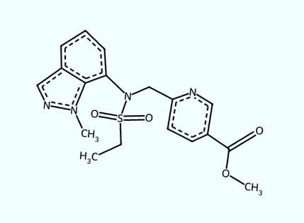 CCS(=O)(=O)N(Cc1ccc(C(=O)OC)cn1)c1cccc2cnn(C)c12